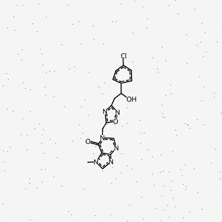 Cn1cnc2ncn(Cc3nc(CC(O)c4ccc(Cl)cc4)no3)c(=O)c21